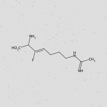 CC(=N)NCCCC=C(F)C(N)C(=O)O